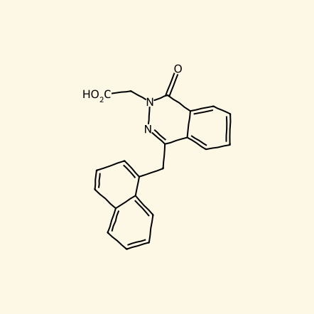 O=C(O)Cn1nc(Cc2cccc3ccccc23)c2ccccc2c1=O